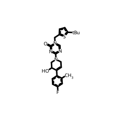 Cc1cc(F)ccc1C1=CCN(c2ncn(Cc3ccc(C(C)(C)C)s3)c(=O)n2)CC1O